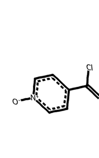 O=C(Cl)c1cc[n+]([O-])cc1